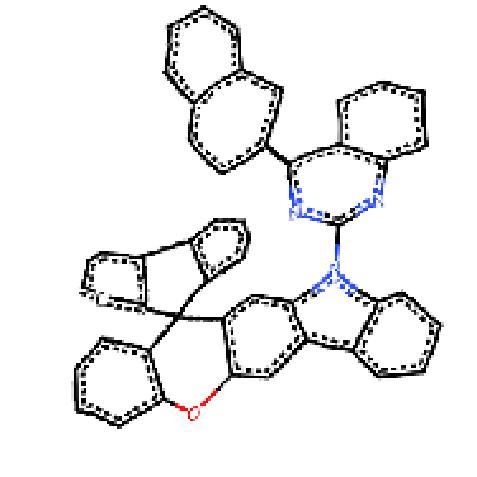 c1ccc2c(c1)Oc1cc3c4ccccc4n(-c4nc(-c5ccc6ccccc6c5)c5ccccc5n4)c3cc1C21c2ccccc2-c2ccccc21